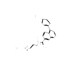 CS(=O)(=O)/C=C/CNC(=O)c1ccc2c(-c3ccc(C(F)(F)F)cc3)cccc2c1